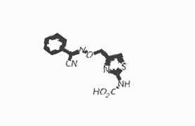 N#CC(=NOCc1csc(NC(=O)O)n1)c1ccccc1